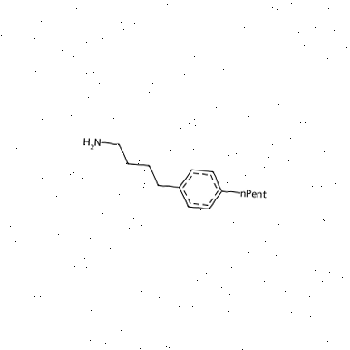 CCCCCc1ccc(CCCCN)cc1